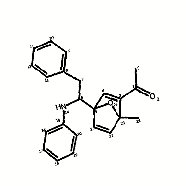 CC(=O)C1=CC2(C(Cc3ccccc3)Nc3ccccc3)C=CC1(C)O2